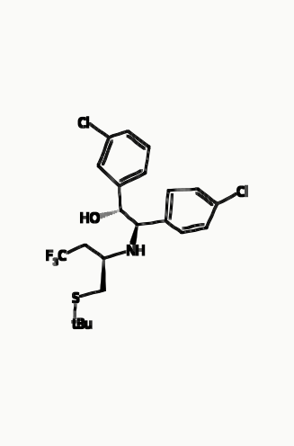 CC(C)(C)SC[C@@H](CC(F)(F)F)N[C@H](c1ccc(Cl)cc1)[C@H](O)c1cccc(Cl)c1